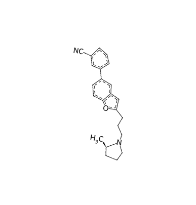 C[C@@H]1CCCN1CCCc1cc2cc(-c3cccc(C#N)c3)ccc2o1